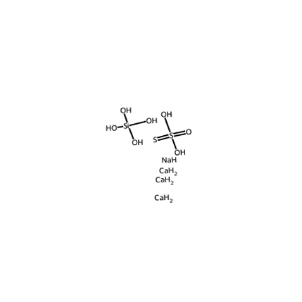 O=S(O)(O)=S.O[Si](O)(O)O.[CaH2].[CaH2].[CaH2].[NaH]